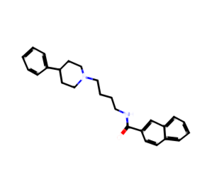 O=C(NCCCCN1CCC(c2ccccc2)CC1)c1ccc2ccccc2c1